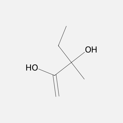 C=C(O)C(C)(O)CC